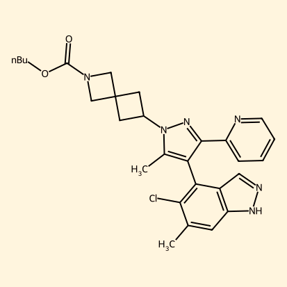 CCCCOC(=O)N1CC2(CC(n3nc(-c4ccccn4)c(-c4c(Cl)c(C)cc5[nH]ncc45)c3C)C2)C1